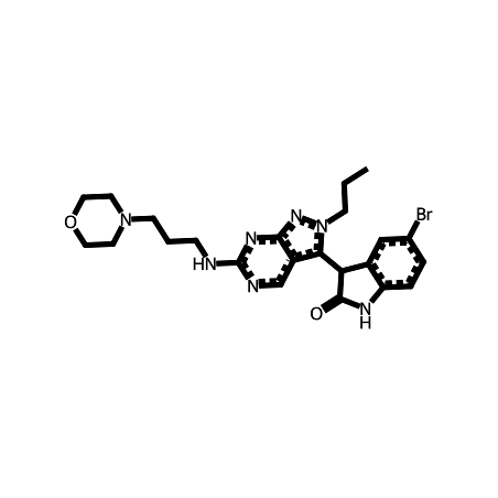 CCCn1nc2nc(NCCCN3CCOCC3)ncc2c1C1C(=O)Nc2ccc(Br)cc21